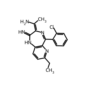 CCc1ccc2c(n1)C(c1ccccc1Cl)=N/C(=C(\C)N)C(=N)N2